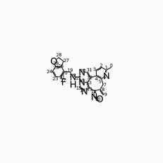 Cc1ccc2c(n1)Cc1conc1-c1ncn3c(NCc4c(F)ccc5c4CCO5)ncc-2c13